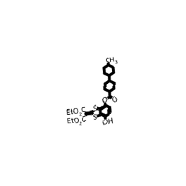 CCOC(=O)C(C(=O)OCC)=C1Sc2c(O)ccc(OC(=O)C3CCC(C4CCC(C)CC4)CC3)c2S1